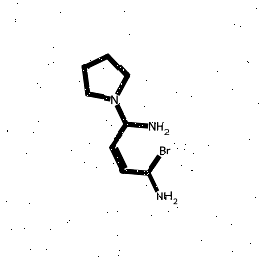 NC(Br)/C=C\C(N)N1CCCC1